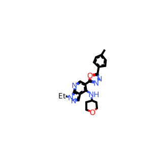 CCn1ncc2c(NC3CCOCC3)c(-c3nnc(-c4ccc(C)cc4)o3)cnc21